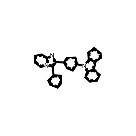 c1ccc(-c2c(-c3ccc(-n4c5ccccc5c5ccccc54)cc3)nc3ccccn23)cc1